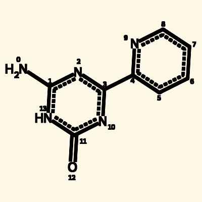 Nc1nc(-c2ccccn2)nc(=O)[nH]1